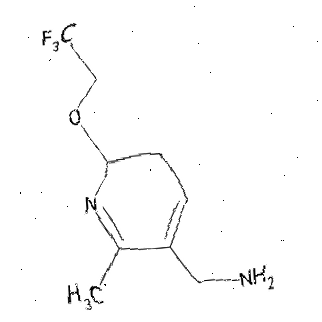 CC1=NC(OCC(F)(F)F)CC=C1CN